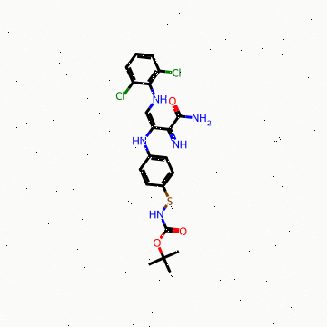 CC(C)(C)OC(=O)NSc1ccc(N/C(=C/Nc2c(Cl)cccc2Cl)C(=N)C(N)=O)cc1